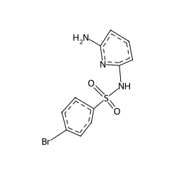 Nc1cccc(NS(=O)(=O)c2ccc(Br)cc2)n1